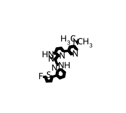 CN(C)c1cncc(-c2ccc3[nH]nc(-c4nc5c(-c6ccc(F)s6)cccc5[nH]4)c3n2)c1